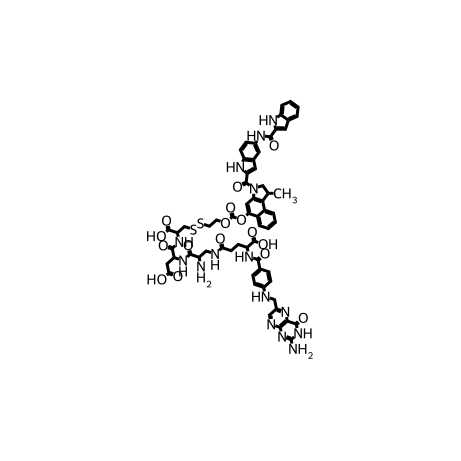 CC1CN(C(=O)c2cc3cc(NC(=O)c4cc5ccccc5[nH]4)ccc3[nH]2)c2cc(OC(=O)OCCSSCC(NC(=O)C(CC(=O)O)NC(=O)C(N)CNC(=O)CCC(NC(=O)c3ccc(NCc4cnc5nc(N)[nH]c(=O)c5n4)cc3)C(=O)O)C(=O)O)c3ccccc3c21